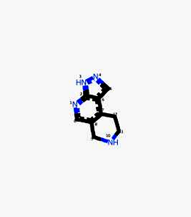 c1nc2[nH]ncc2c2c1CNCC2